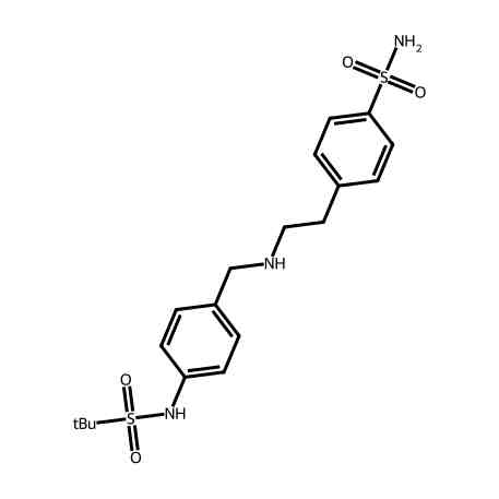 CC(C)(C)S(=O)(=O)Nc1ccc(CNCCc2ccc(S(N)(=O)=O)cc2)cc1